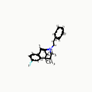 CC1C2Cc3ccc(F)cc3[C@@]1(C)CCN2CCc1ccccc1